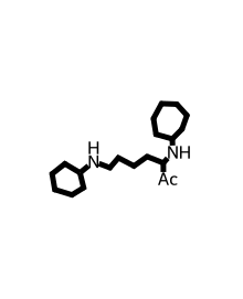 CC(=O)C(CCCCNC1CCCCC1)NC1CCCCCC1